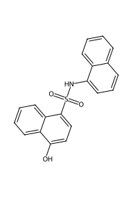 O=S(=O)(Nc1cccc2ccccc12)c1ccc(O)c2ccccc12